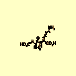 NCCCCC(NC(=O)C(N)CC(=O)O)C(=O)O